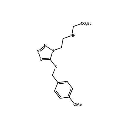 CCOC(=O)CNCCn1nnnc1SCc1ccc(OC)cc1